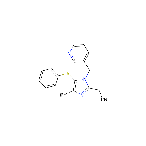 CC(C)c1nc(CC#N)n(Cc2cccnc2)c1Sc1ccccc1